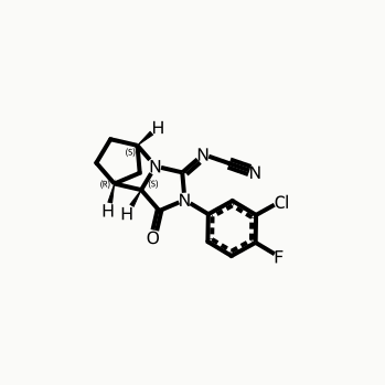 N#CN=C1N(c2ccc(F)c(Cl)c2)C(=O)[C@@H]2[C@@H]3CC[C@@H](C3)N12